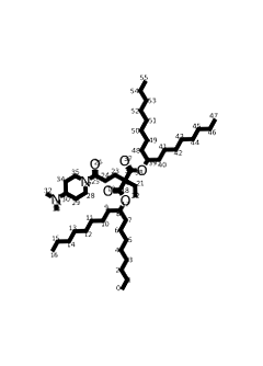 CCCCCCCCC(CCCCCCCC)OC(=O)C(CC)(CCC(=O)N1CCC(N(C)C)CC1)C(=O)OC(CCCCCCCC)CCCCCCCC